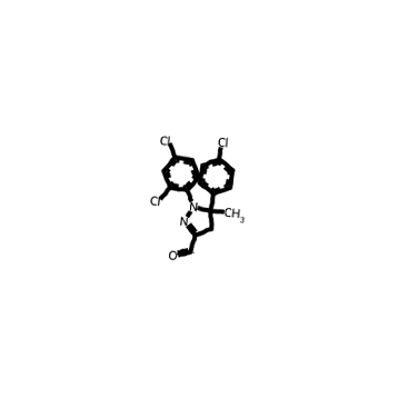 CC1(c2ccc(Cl)cc2)CC([C]=O)=NN1c1ccc(Cl)cc1Cl